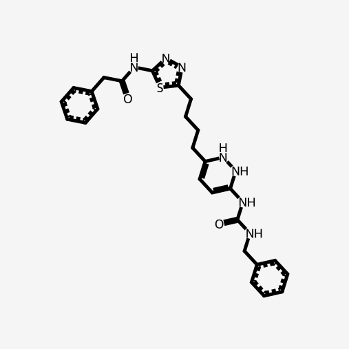 O=C(Cc1ccccc1)Nc1nnc(CCCCC2=CC=C(NC(=O)NCc3ccccc3)NN2)s1